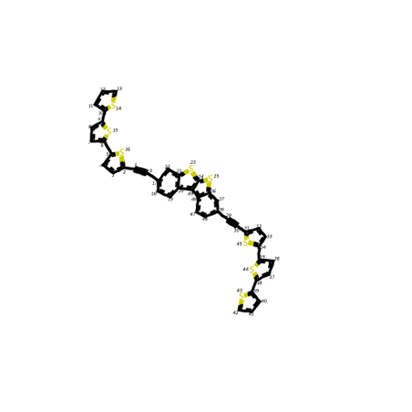 C(#Cc1ccc(-c2ccc(-c3cccs3)s2)s1)c1ccc2c(c1)sc1sc3cc(C#Cc4ccc(-c5ccc(-c6cccs6)s5)s4)ccc3c12